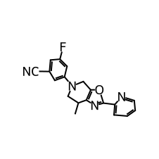 CC1CN(c2cc(F)cc(C#N)c2)Cc2oc(-c3ccccn3)nc21